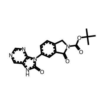 CC(C)(C)OC(=O)N1Cc2ccc(-n3c(=O)[nH]c4cncnc43)cc2C1=O